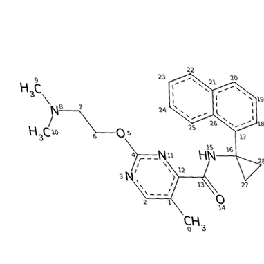 Cc1cnc(OCCN(C)C)nc1C(=O)NC1(c2cccc3ccccc23)CC1